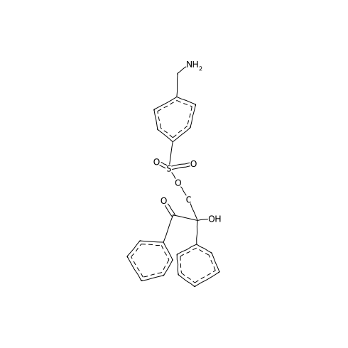 NCc1ccc(S(=O)(=O)OCC(O)(C(=O)c2ccccc2)c2ccccc2)cc1